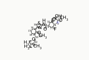 CO/C(=C/c1c(F)cc(C(=O)Nc2nc(-c3cccc(COCC(C)(C)C)c3OC)cs2)cc1F)C(=O)O